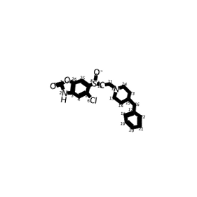 O=c1[nH]c2cc(Cl)c([S+]([O-])CCN3CCC(Cc4ccccc4)CC3)cc2o1